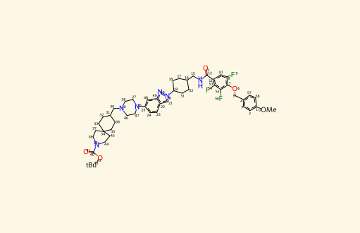 COc1ccc(COc2c(F)cc(C(=O)NCC3CCC(n4cc5ccc(N6CCN(CC7CCC8(CC7)CCN(C(=O)OC(C)(C)C)CC8)CC6)cc5n4)CC3)c(F)c2F)cc1